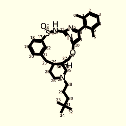 Cc1cccc(C)c1-c1cc2nc(n1)N[S+]([O-])c1cccc(c1)CC1CCN(CCCC(C)(C)C)C[C@@H]1CO2